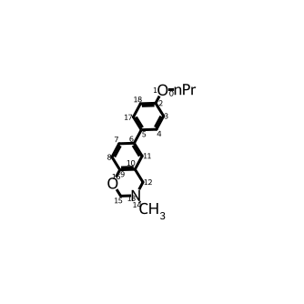 CCCOc1ccc(-c2ccc3c(c2)CN(C)CO3)cc1